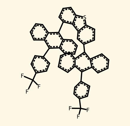 FC(F)(F)c1ccc(-c2c3ccccc3c(-c3ccc4sc5cccc(-c6c7ccccc7c(-c7ccc(C(F)(F)F)cc7)c7ccccc67)c5c4c3)c3ccccc23)cc1